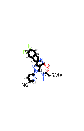 CSCC(=O)Nc1c2c(nn1-c1ccc(C#N)cn1)C1(Cc3cc(F)c(F)cc3C1)NC2=O